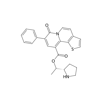 CC(OC(=O)c1cc(-c2ccccc2)c(=O)n2ccc3ccsc3c12)[C@@H]1CCCN1